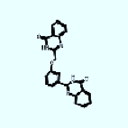 O=c1[nH]c(COc2cccc(-c3nc4ccccc4c(=O)[nH]3)c2)nc2ccccc12